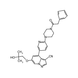 CC(C)(O)COc1cc(-c2ccc(N3CCN(C(=O)Cc4ccccc4)CC3)nc2)c2c(C#N)cnn2c1